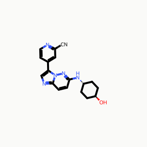 N#Cc1cc(-c2cnc3ccc(N[C@H]4CC[C@H](O)CC4)nn23)ccn1